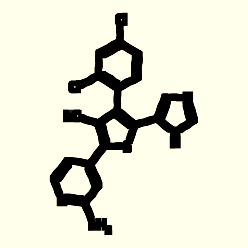 N#Cc1c(-c2ccnc(N)c2)sc(-c2cnc[nH]2)c1-c1ccc(Cl)cc1Cl